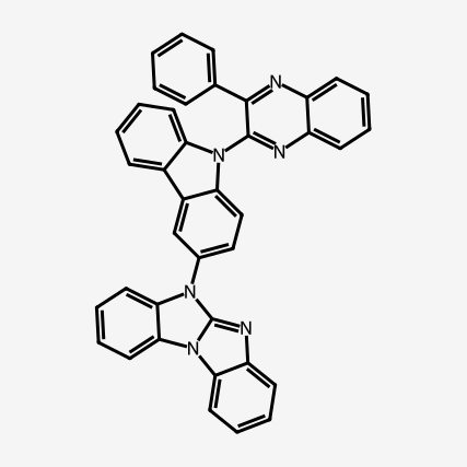 c1ccc(-c2nc3ccccc3nc2-n2c3ccccc3c3cc(-n4c5ccccc5n5c6ccccc6nc45)ccc32)cc1